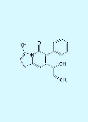 C=CC(O)c1cc2scc(C)n2c(=O)c1-c1ccccc1